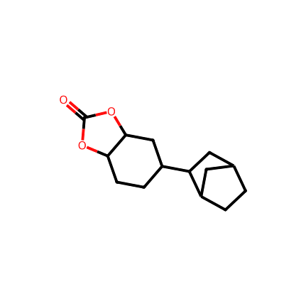 O=C1OC2CCC(C3CC4CCC3C4)CC2O1